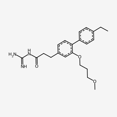 CCc1ccc(-c2ccc(CCC(=O)NC(=N)N)cc2OCCCOC)cc1